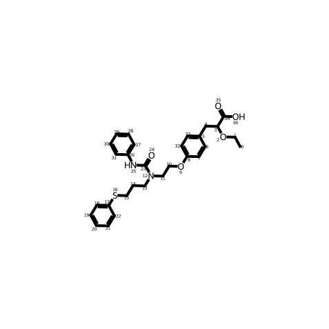 CCOC(Cc1ccc(OCCN(CCCSc2ccccc2)C(=O)Nc2ccccc2)cc1)C(=O)O